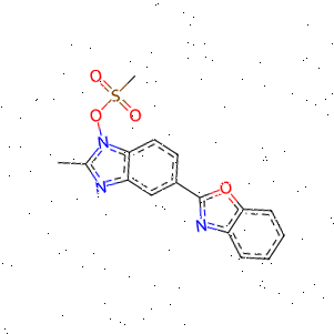 Cc1nc2cc(-c3nc4ccccc4o3)ccc2n1OS(C)(=O)=O